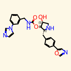 O=C(NCc1cccc(-n2ccnc2)c1)O[C@@H]1[C@@H](O)CN[C@@H]1Cc1ccc(-c2cnco2)cc1